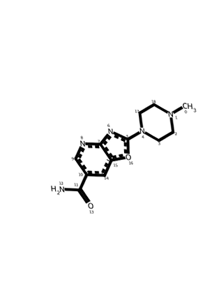 CN1CCN(c2nc3ncc(C(N)=O)cc3o2)CC1